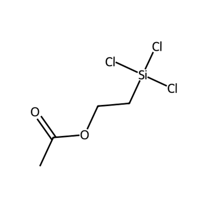 CC(=O)OCC[Si](Cl)(Cl)Cl